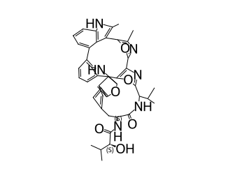 Cc1nc2oc1-c1c(C)[nH]c3cccc(c13)-c1cccc3c1NC1Oc4ccc5cc4C31c1oc(nc1-2)C(C(C)C)NC(=O)[C@@H](NC(=O)[C@@H](O)C(C)C)C5